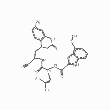 COc1cccc2[nH]c(C(=O)N[C@@H](CC(C)C)C(=O)NC(C#N)CC3CC(=O)Nc4cc(C)ccc43)cc12